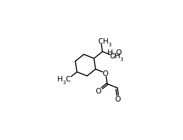 CC1CCC(C(C)C)C(OC(=O)C=O)C1.O